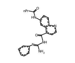 CCCC(=O)Nc1ccc2nccc(C(=O)NC(N)=Nc3ccccc3)c2c1